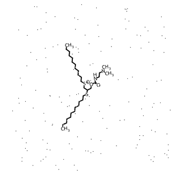 CCCCCCCCCCCCSC(COC(=O)NCCN(C)C)C[S+]([O-])CCCCCCCCCCCC